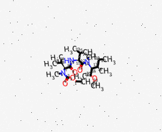 CCOC(=O)N(C)[C@H](C(=O)N[C@H](C(=O)N(C)[C@@H]([C@@H](C)CC)[C@@H](C)OC)C(C)C)C(C)C